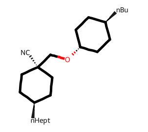 CCCCCCC[C@H]1CC[C@@](C#N)(CO[C@H]2CC[C@H](CCCC)CC2)CC1